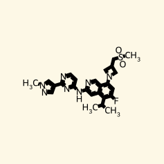 CC(C)c1c(F)cc(N2CC(CS(C)(=O)=O)C2)c2cnc(Nc3ccnc(-c4cnn(C)c4)n3)cc12